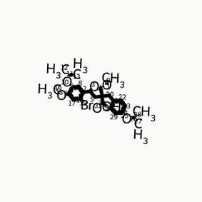 COC(=O)C(CCc1cc(OC(C)C)c(OC)cc1Br)(Cc1ccc(OC(C)C)cc1)C(=O)O